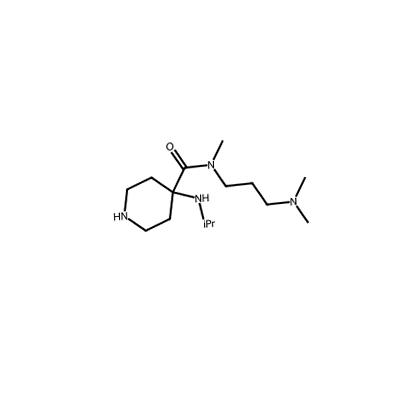 CC(C)NC1(C(=O)N(C)CCCN(C)C)CCNCC1